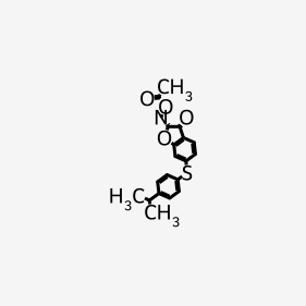 CC(=O)ON=C1Oc2cc(Sc3ccc(C(C)C)cc3)ccc2C1=O